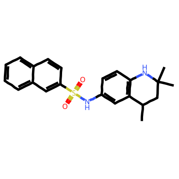 CC1CC(C)(C)Nc2ccc(NS(=O)(=O)c3ccc4ccccc4c3)cc21